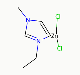 CC[n+]1ccn(C)c1.[Cl][Zn][Cl]